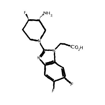 N[C@@H]1CN(c2nc3cc(F)c(F)cc3n2CC(=O)O)CC[C@H]1F